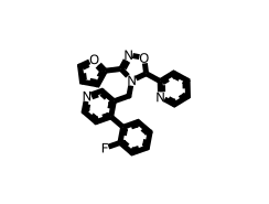 Fc1ccccc1-c1ccncc1CN1C(c2ccco2)=NOC1c1ccccn1